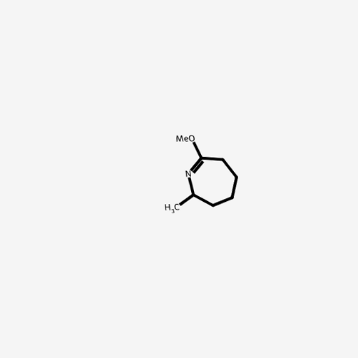 COC1=NC(C)CCCC1